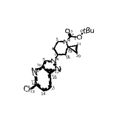 CC(C)(C)OC(=O)N1CCC(n2cc3nc(Cl)ccc3n2)CC12CC2